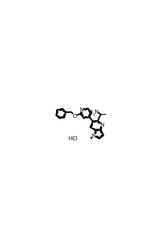 C[C@H](N)c1nc2ccn(C)c2cc1-c1ccnc(OCc2ccccc2)c1.Cl